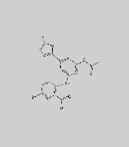 CC(=O)Nc1cc(Nc2ccc(Br)cc2[N+](=O)[O-])cc(-c2ccc(C)o2)c1